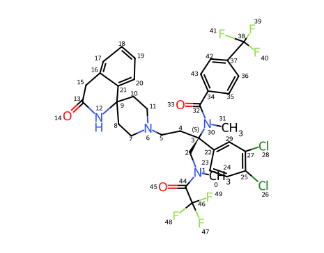 CN(C[C@](CCN1CCC2(CC1)NC(=O)Cc1ccccc12)(c1ccc(Cl)c(Cl)c1)N(C)C(=O)c1ccc(C(F)(F)F)cc1)C(=O)C(F)(F)F